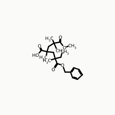 CCC(C)(CC(C)(CC(C)(C)C(=O)OC)C(=O)O)C(=O)OCc1ccccc1